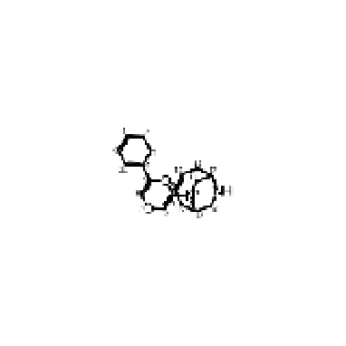 C1=CCCC(C2=COC=C(N3CC4CC=CCC3CN4)O2)=C1